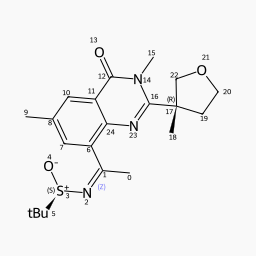 C/C(=N/[S@+]([O-])C(C)(C)C)c1cc(C)cc2c(=O)n(C)c([C@@]3(C)CCOC3)nc12